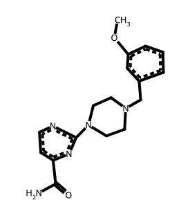 COc1cccc(CN2CCN(c3nccc(C(N)=O)n3)CC2)c1